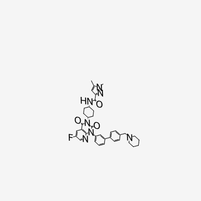 Cc1cc(C(=O)N[C@H]2CC[C@@H](n3c(=O)c4cc(F)cnc4n(-c4cccc(-c5ccc(CN6CCCCC6)cc5)c4)c3=O)CC2)nn1C